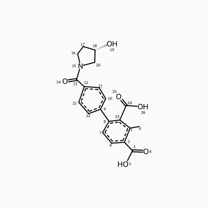 Cc1c(C(=O)O)ccc(-c2ccc(C(=O)N3CC[C@H](O)C3)cc2)c1C(=O)O